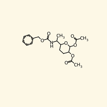 CC(=O)OC1CCC(C(C)NC(=O)OCc2ccccc2)OC1OC(C)=O